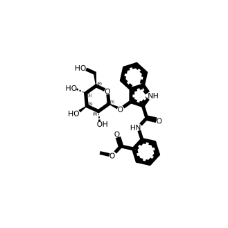 COC(=O)c1ccccc1NC(=O)c1[nH]c2ccccc2c1O[C@@H]1O[C@H](CO)[C@@H](O)[C@H](O)[C@H]1O